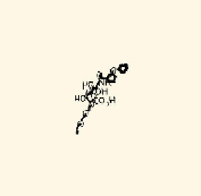 C#CCOCCOCCO[C@@]1(C(=O)O)C[C@H](O)[C@@H](C)[C@H]([C@H](O)[C@H](O)CNC(=O)c2cccc(Oc3ccccc3)c2)O1